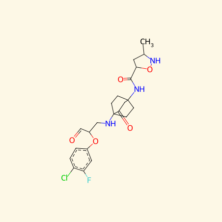 CC1CC(C(=O)NC23CCC(NCC(C=O)Oc4ccc(Cl)c(F)c4)(CC2)C(=O)C3)ON1